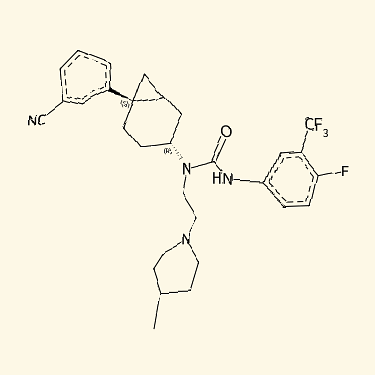 CC1CCN(CCN(C(=O)Nc2ccc(F)c(C(F)(F)F)c2)[C@@H]2CC[C@]3(c4cccc(C#N)c4)CC3C2)CC1